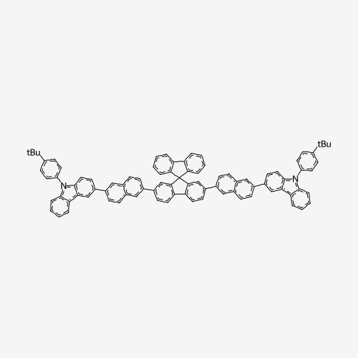 CC(C)(C)c1ccc(-n2c3ccccc3c3cc(-c4ccc5cc(-c6ccc7c(c6)C6(c8ccccc8-c8ccccc86)c6cc(-c8ccc9cc(-c%10ccc%11c(c%10)c%10ccccc%10n%11-c%10ccc(C(C)(C)C)cc%10)ccc9c8)ccc6-7)ccc5c4)ccc32)cc1